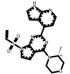 C=CS(=O)(=O)n1ccc2c(N3CCOC[C@H]3C)nc(-c3ccnc4[nH]ccc34)nc21